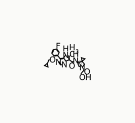 Cc1[nH]c2c(-c3cc(F)ccc3OCC3CC3)ncnc2c1C(=O)N[C@@H]1CN(C(=O)CO)CC12CC2